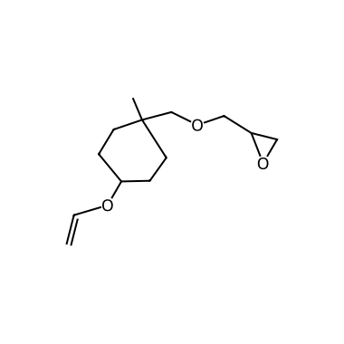 C=COC1CCC(C)(COCC2CO2)CC1